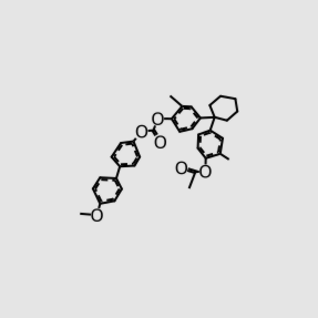 COc1ccc(-c2ccc(OC(=O)Oc3ccc(C4(c5ccc(OC(C)=O)c(C)c5)CCCCC4)cc3C)cc2)cc1